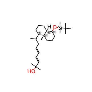 CC(CC=CC=CC(C)(C)O)[C@H]1CCC[C@H]2[C@@H](O[Si](C)(C)C(C)(C)C)CCC[C@]12C